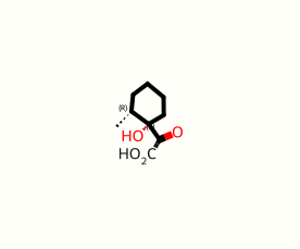 C[C@@H]1CCCC[C@@]1(O)C(=O)C(=O)O